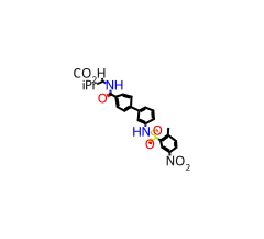 Cc1ccc([N+](=O)[O-])cc1S(=O)(=O)Nc1cccc(-c2ccc(C(=O)NC(C(=O)O)C(C)C)cc2)c1